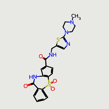 CN1CCN(c2ncc(CNC(=O)c3ccc4c(c3)NC(=O)c3ccccc3S4(=O)=O)s2)CC1